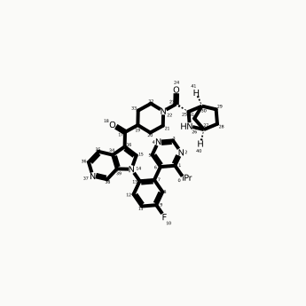 CC(C)c1ncncc1-c1cc(F)ccc1-n1cc(C(=O)C2CCN(C(=O)[C@H]3N[C@@H]4CC[C@H]3C4)CC2)c2ccncc21